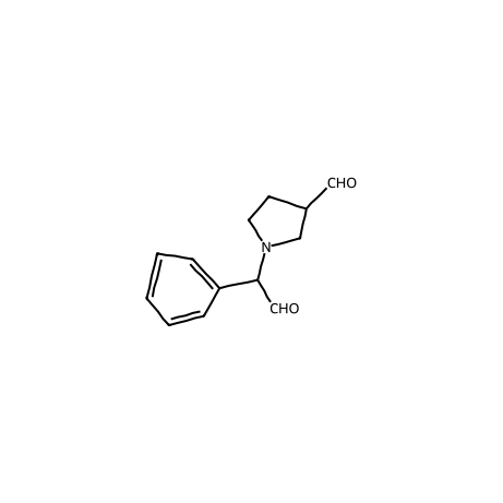 O=CC1CCN(C(C=O)c2ccccc2)C1